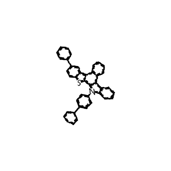 c1ccc(-c2ccc(-n3c4ccccc4c4c5ccccc5c5c6cc(-c7ccccc7)ccc6sc5c43)cc2)cc1